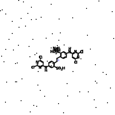 O=S(=O)(O)c1cc(Nc2cc(Cl)nc(Cl)n2)ccc1/C=C/c1ccc(Nc2cc(Cl)nc(Cl)n2)cc1S(=O)(=O)O.[NaH].[NaH]